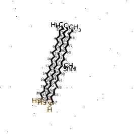 CCCCCCCCCCCCCCCCCCCCCCS.CCCCCCCCCCCCCCCCCCCCCCS.CCCCCCCCCCCCCCCCCCCCCCS.[CH3][SnH]